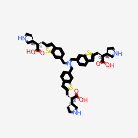 O=C(O)[C@@H](Cc1cc2ccc(CN(Cc3ccc4cc(C[C@H](C(=O)O)[C@H]5CCNC5)sc4c3)Cc3ccc4cc(C[C@H](C(=O)O)[C@H]5CCNC5)sc4c3)cc2s1)[C@H]1CCNC1